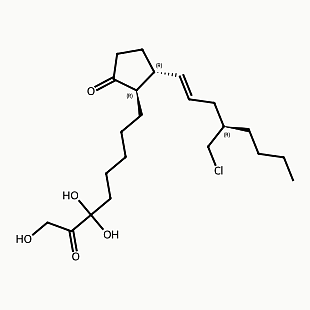 CCCC[C@@H](CCl)CC=C[C@H]1CCC(=O)[C@@H]1CCCCCC(O)(O)C(=O)CO